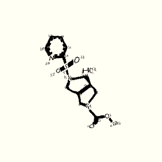 CC(C)(C)OC(=O)N1CC2=C(C1)CN(S(=O)(=O)c1ccccn1)C2.Cl